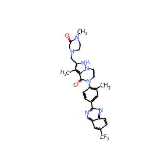 CC1=C2C(=O)N(c3ccc(-c4ncc5cc(C(F)(F)F)ccc5n4)cc3C)CCN2NC1CN1CCN(C)C(=O)C1